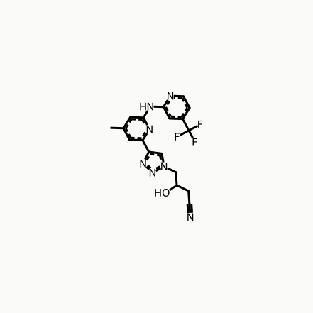 Cc1cc(Nc2cc(C(F)(F)F)ccn2)nc(-c2cn(CC(O)CC#N)nn2)c1